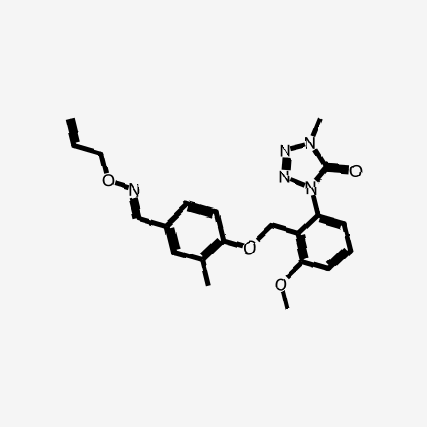 C=CCON=Cc1ccc(OCc2c(OC)cccc2-n2nnn(C)c2=O)c(C)c1